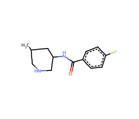 CC1[CH]C(NC(=O)c2ccc(F)cc2)CNC1